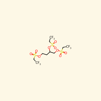 O=S(=O)(CC(F)(F)F)OCCC(COS(=O)(=O)CC(F)(F)F)OS(=O)(=O)CC(F)(F)F